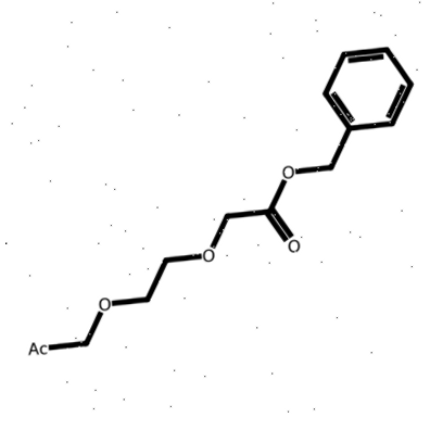 CC(=O)COCCOCC(=O)OCc1ccccc1